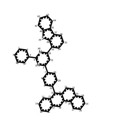 c1ccc(-c2nc(-c3ccc(-c4c5ccccc5cc5c4ccc4ccccc45)cc3)cc(-c3cccc4c3sc3ccccc34)n2)cc1